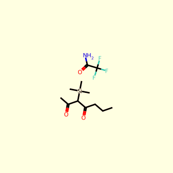 CCCC(=O)C(C(C)=O)[Si](C)(C)C.NC(=O)C(F)(F)F